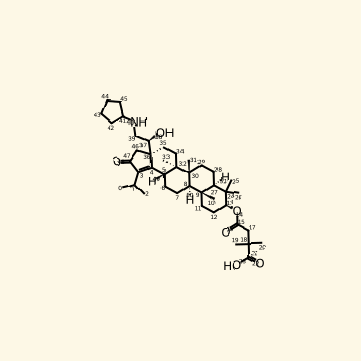 CC(C)C1=C2[C@H]3CC[C@@H]4[C@@]5(C)CC[C@H](OC(=O)CC(C)(C)C(=O)O)C(C)(C)[C@@H]5CC[C@@]4(C)[C@]3(C)CC[C@@]2([C@H](O)CNC2CCCC2)CC1=O